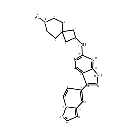 CC(=O)N1CCC2(CC1)CC(Nc1ncc3c(-c4ccn5nccc5c4)c[nH]c3n1)C2